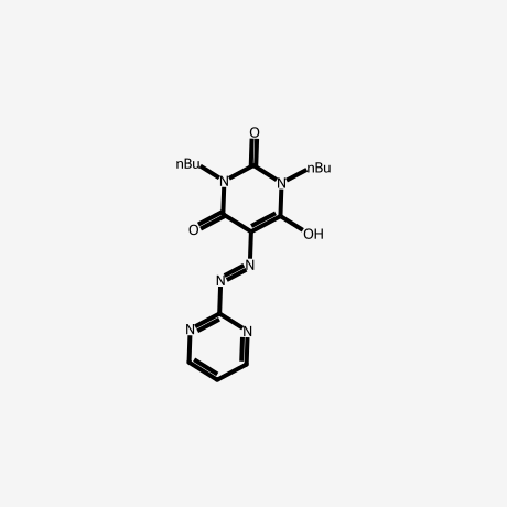 CCCCn1c(O)c(N=Nc2ncccn2)c(=O)n(CCCC)c1=O